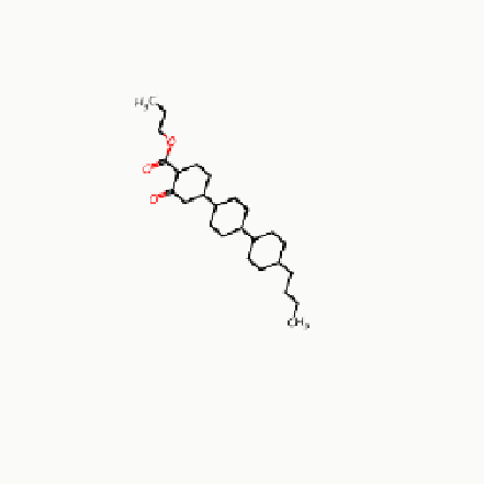 CCCCC1CCC(C2CCC(C3CCC(C(=O)OCCC)C(=O)C3)CC2)CC1